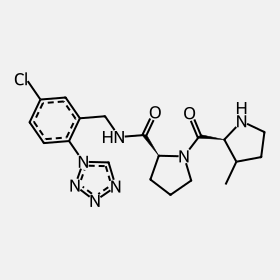 CC1CCN[C@@H]1C(=O)N1CCC[C@H]1C(=O)NCc1cc(Cl)ccc1-n1cnnn1